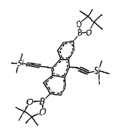 CC1(C)OB(c2ccc3c(C#C[Si](C)(C)C)c4cc(B5OC(C)(C)C(C)(C)O5)ccc4c(C#C[Si](C)(C)C)c3c2)OC1(C)C